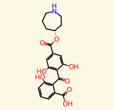 O=C(O[C@@H]1CCCNCC1)c1cc(O)c(C(=O)c2c(O)cccc2C(=O)O)c(O)c1